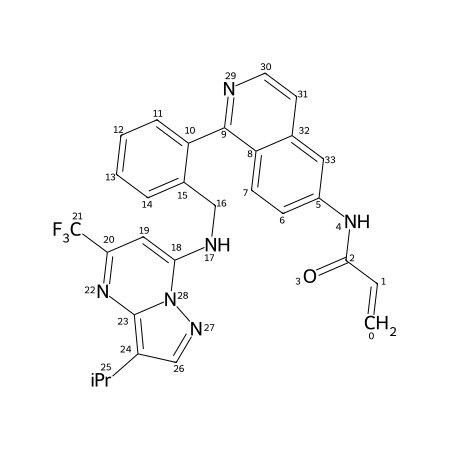 C=CC(=O)Nc1ccc2c(-c3ccccc3CNc3cc(C(F)(F)F)nc4c(C(C)C)cnn34)nccc2c1